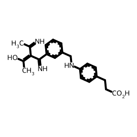 CC(=N)/C(C(=N)c1cccc(CNc2ccc(CCC(=O)O)cc2)c1)=C(/C)O